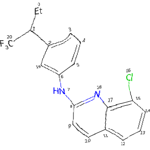 CCC(c1cccc(Nc2ccc3cccc(Cl)c3n2)c1)C(F)(F)F